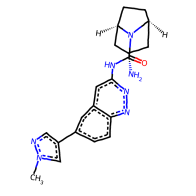 Cn1cc(-c2ccc3nnc(NC(=O)N4[C@@H]5CC[C@H]4C[C@H](N)C5)cc3c2)cn1